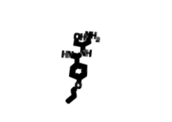 CCCOc1ccc(C(=N)NC(CN)CO)cc1